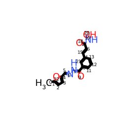 Cc1ccc(/C=N/NC(=O)c2cccc(/C=C/C(=O)NO)c2)o1